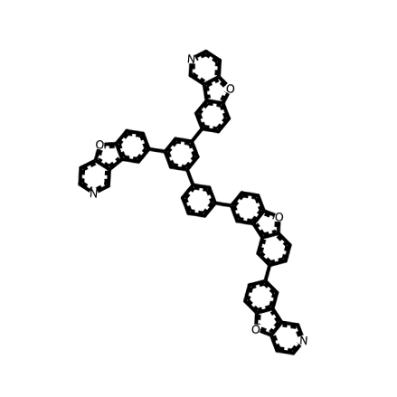 c1cc(-c2cc(-c3ccc4oc5ccncc5c4c3)cc(-c3ccc4oc5ccncc5c4c3)c2)cc(-c2ccc3oc4ccc(-c5ccc6oc7ccncc7c6c5)cc4c3c2)c1